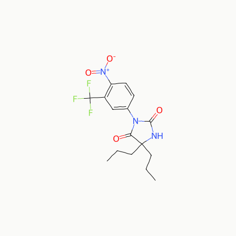 CCCC1(CCC)NC(=O)N(c2ccc([N+](=O)[O-])c(C(F)(F)F)c2)C1=O